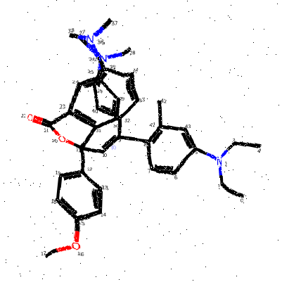 CCN(CC)c1ccc(/C(=C/C2(c3ccc(OC)cc3)OC(=O)c3cc(N(C)C)ccc32)c2ccc(N(C)C)cc2)c(C)c1